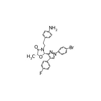 C[C@H]1O[C@H](c2nn(-c3ccc(Br)cc3)cc2-c2ccc(F)cc2)N(CCc2ccc(N)cc2)C1=O